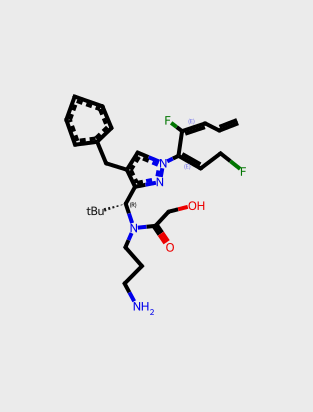 C=C/C=C(F)\C(=C/CF)n1cc(Cc2ccccc2)c([C@H](N(CCCN)C(=O)CO)C(C)(C)C)n1